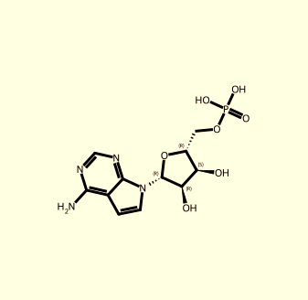 Nc1ncnc2c1ccn2[C@@H]1O[C@H](COP(=O)(O)O)[C@@H](O)[C@H]1O